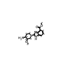 COC(=O)c1cccc2[nH]c(N3CCC(N)C(OC)C3)nc12